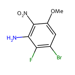 COc1cc(Br)c(F)c(N)c1[N+](=O)[O-]